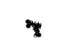 CC1C=c2c(ccc3c2=CC(=O)c2ccccc2-3)C(C)(N2CN(CC(=O)Nc3nc(-c4ccccc4)c(-c4ccccc4)o3)c3cncnc32)C1=O